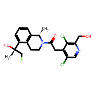 C[C@H]1c2cccc([C@@](C)(O)CF)c2CCN1C(=O)Cc1c(Cl)cnc(CO)c1Cl